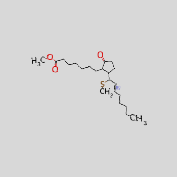 CCCCC/C=C/C(SC)C1CCC(=O)C1CCCCCCC(=O)OC